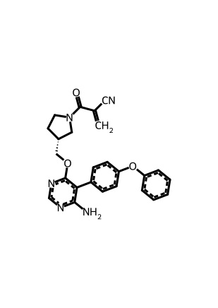 C=C(C#N)C(=O)N1CC[C@@H](COc2ncnc(N)c2-c2ccc(Oc3ccccc3)cc2)C1